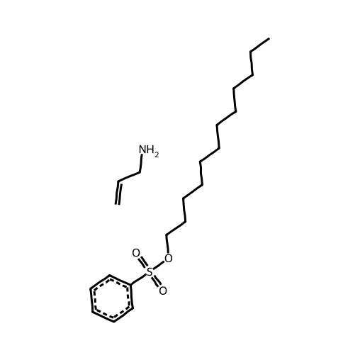 C=CCN.CCCCCCCCCCCCOS(=O)(=O)c1ccccc1